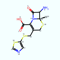 NC1C(=O)N2C(C(=O)O)=C(CSc3cncs3)CS[C@@H]12